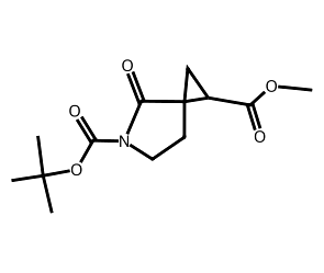 COC(=O)C1CC12CCN(C(=O)OC(C)(C)C)C2=O